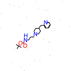 CC(C)(C)OC(=O)NCCCN1CCC(Cc2ccccn2)CC1